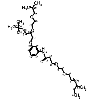 CCC(C)NCCOCCOCCC(=O)Nc1cccc(OCC(OCCOCC(C)C)SSC(C)(C)C)c1